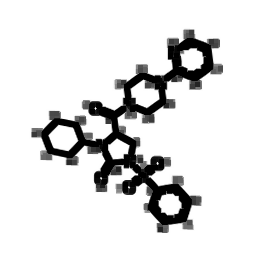 O=C(C1CN(S(=O)(=O)c2ccccc2)C(=O)N1C1CCCCC1)N1CCN(c2ccccn2)CC1